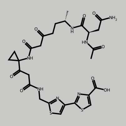 CC(=O)N[C@H](CC(N)=O)C(=O)N[C@@H](C)CCC(=O)CC(=O)NC1(C(=O)CC(=O)NCc2nc(-c3nc(C(=O)O)cs3)cs2)CC1